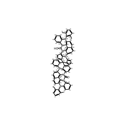 Cc1cccc(C)c1B1c2ccccc2N2C(=O)N3c4cccc5c4B(c4ccccc4C54c5ccccc5B5c6ccc7ccc8c9c7c6N(c6cccc4c65)C(O)N9c4ccccc4B8c4c(C)cccc4C)c4ccc5ccc1c2c5c43